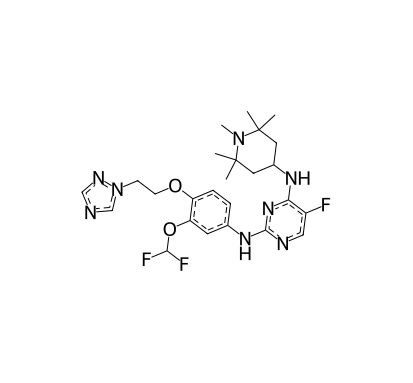 CN1C(C)(C)CC(Nc2nc(Nc3ccc(OCCn4cncn4)c(OC(F)F)c3)ncc2F)CC1(C)C